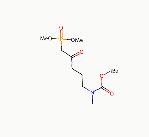 COP(=O)(CC(=O)CCCN(C)C(=O)OC(C)(C)C)OC